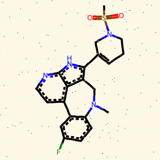 CN1Cc2c(C3=CCCN(S(C)(=O)=O)C3)[nH]c3nccc(c23)-c2cc(F)ccc21